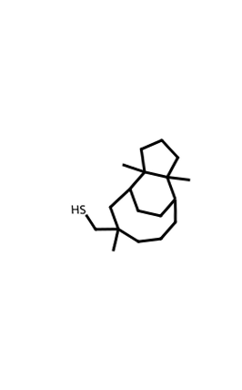 CC1(CS)CCCC2CCC(C1)C1(C)CCCC21C